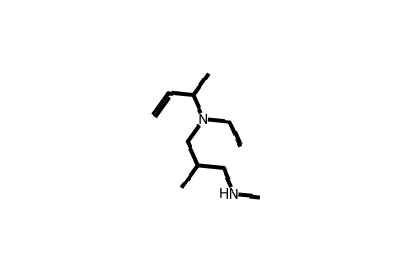 C=CC(C)N(CC)CC(C)CNC